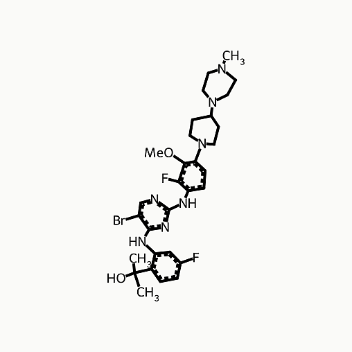 COc1c(N2CCC(N3CCN(C)CC3)CC2)ccc(Nc2ncc(Br)c(Nc3cc(F)ccc3C(C)(C)O)n2)c1F